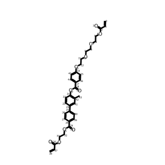 C=CC(=O)OCCOCCOCCOc1ccc(C(=O)Oc2ccc(-c3ccc(C(=O)OCCOC(=O)C=C)cc3)cc2C)cc1